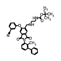 Cc1c(-c2ccccc2)cccc1N1C(=O)c2cc(CNCCNC(=O)OC(C)(C)C)c(Oc3cccc(C#N)c3)cc2C1=O